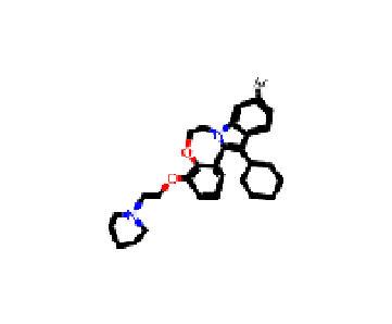 CC(=O)c1ccc2c(C3CCCCC3)c3n(c2c1)CCOc1c(OCCN2CCCCC2)cccc1-3